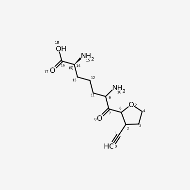 C#CC1CCOC1C(=O)C(N)CCC[C@H](N)C(=O)O